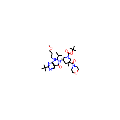 COCCCNc1nc(C(C)(C)C)ncc1C(=O)N(CC(C)C)[C@@H]1CN(C(=O)OC(C)(C)C)CC(C)(C(=O)N2CCOCC2)C1